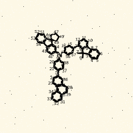 CC1(C)c2ccccc2-c2cccc(-c3ccc(N(c4ccc(-c5ccc6c(ccc7ccccc76)c5)cc4)c4ccc5c(c4)C4(CCCC4)c4ccccc4-5)cc3)c21